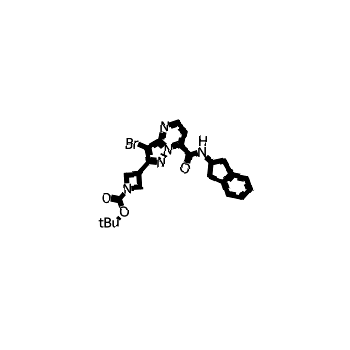 CC(C)(C)OC(=O)N1CC(c2nn3c(C(=O)NC4Cc5ccccc5C4)ccnc3c2Br)C1